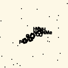 CNC(=O)c1[nH]cnc1C(=O)N[C@H]1CC[C@@]2(CCN(c3ccc(F)cc3)C2=O)CC1